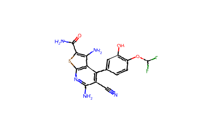 N#Cc1c(N)nc2sc(C(N)=O)c(N)c2c1-c1ccc(OC(F)F)c(O)c1